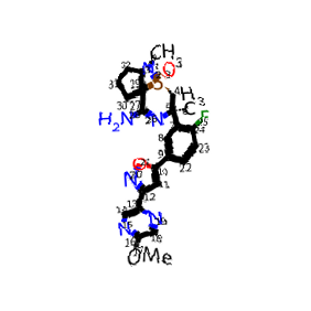 CN=[S@]1(=O)C[C@@](C)(c2cc(-c3cc(-c4cnc(OC)cn4)no3)ccc2F)N=C(N)C12CCCC2